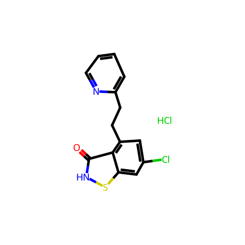 Cl.O=c1[nH]sc2cc(Cl)cc(CCc3ccccn3)c12